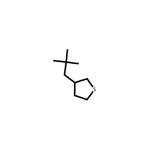 CC(C)(C)CC1CCSC1